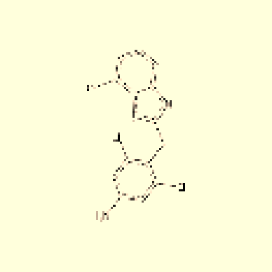 Nc1cc(Cl)c(Cc2nc3cccc(Cl)c3s2)c(Cl)c1